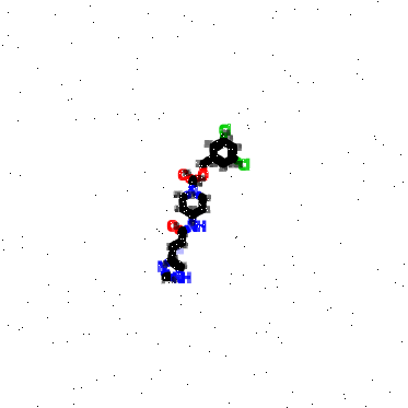 O=C(/C=C/c1c[nH]cn1)NC1CCN(C(=O)OCc2cc(Cl)cc(Cl)c2)CC1